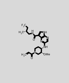 C=CC(=O)N1CC[C@H](Nc2cnc3[nH]cc(C(=O)NC[C@H](C)CC(F)(F)F)c3n2)[C@H](OC)C1